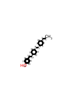 CCC[C@H]1CC[C@H](CC[C@H]2CC[C@H](CCc3ccc(O)cc3)CC2)CC1